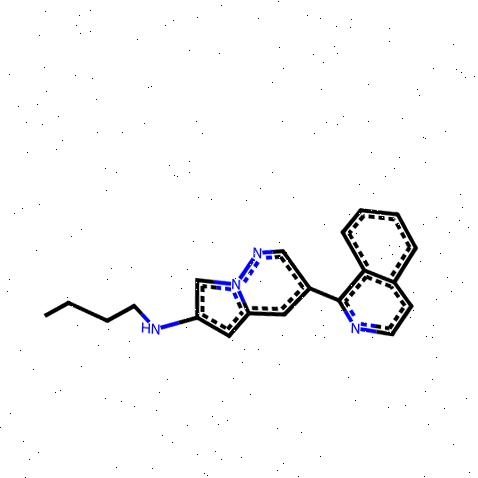 CCCCNc1cc2cc(-c3nccc4ccccc34)cnn2c1